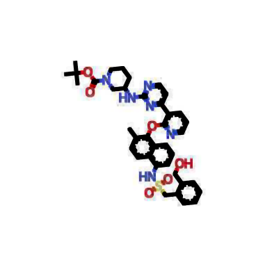 Cc1ccc2c(NS(=O)(=O)Cc3ccccc3CO)cccc2c1Oc1ncccc1-c1ccnc(NC2CCCN(C(=O)OC(C)(C)C)C2)n1